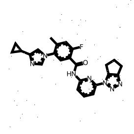 Cc1cc(F)c(C(=O)Nc2cccc(-n3nnc4c3CCC4)n2)cc1-n1cnc(C2CC2)c1